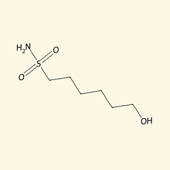 NS(=O)(=O)CCCCCCO